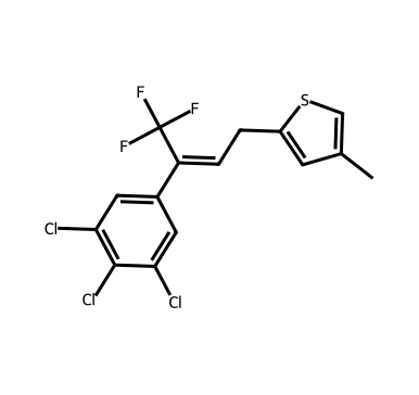 Cc1csc(CC=C(c2cc(Cl)c(Cl)c(Cl)c2)C(F)(F)F)c1